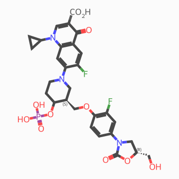 O=C(O)c1cn(C2CC2)c2cc(N3CCC(OP(=O)(O)O)[C@H](COc4ccc(N5C[C@H](CO)OC5=O)cc4F)C3)c(F)cc2c1=O